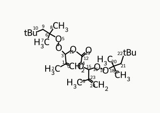 C=C(C)C(OOC(C)(C)CC(C)(C)C)OC(=O)OC(OOC(C)(C)CC(C)(C)C)C(=C)C